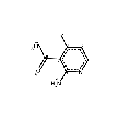 Cc1ccnc(N)c1C(=O)NC(F)(F)F